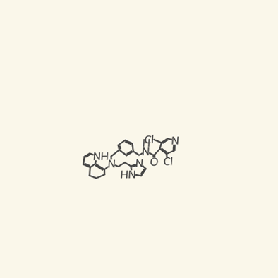 O=C(NCc1cccc(CN(CCc2ncc[nH]2)C2=C3NC=CC=C3CCC2)c1)c1c(Cl)cncc1Cl